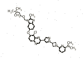 Cc1nc2ccc(Oc3ccc4ncc(-c5cnn(C6CN(c7cccc(N(C)C)n7)C6)c5)nc4c3Cl)cc2n1COCC[Si](C)(C)C